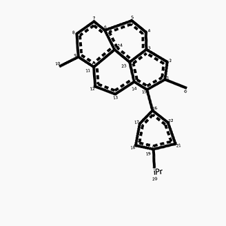 Cc1cc2ccc3ccc(C)c4ccc(c1-c1ccc(C(C)C)cc1)c2c34